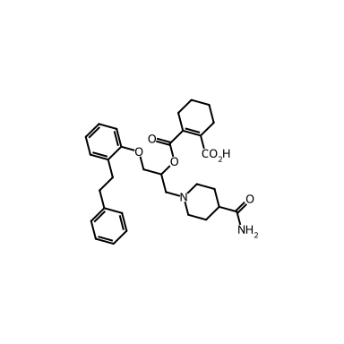 NC(=O)C1CCN(CC(COc2ccccc2CCc2ccccc2)OC(=O)C2=C(C(=O)O)CCCC2)CC1